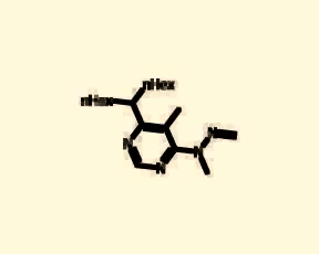 C=NN(C)c1ncnc(C(CCCCCC)CCCCCC)c1C